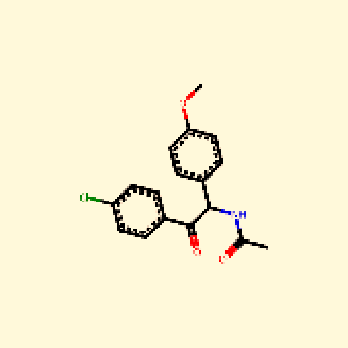 COc1ccc(C(NC(C)=O)C(=O)c2ccc(Cl)cc2)cc1